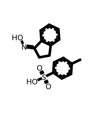 Cc1ccc(S(=O)(=O)O)cc1.O/N=C1/CCc2ccccc21